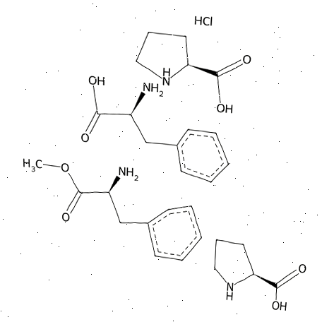 COC(=O)[C@@H](N)Cc1ccccc1.Cl.N[C@@H](Cc1ccccc1)C(=O)O.O=C(O)[C@@H]1CCCN1.O=C(O)[C@@H]1CCCN1